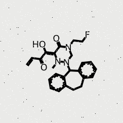 C=CC(=O)/C(O)=C1/C(=O)N(CCF)CN(C2c3ccccc3CCc3ccccc32)N1C